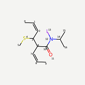 C/C=C\C(SC)C(/C=C\C)C(=O)N(I)C(C)C